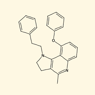 Cc1nc2cccc(Oc3ccccc3)c2c2c1CCN2CCc1ccccc1